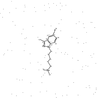 Cc1nn(CCCCCN(C)C)c2ccc(F)cc12